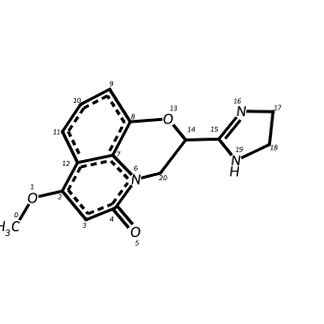 COc1cc(=O)n2c3c(cccc13)OC(C1=NCCN1)C2